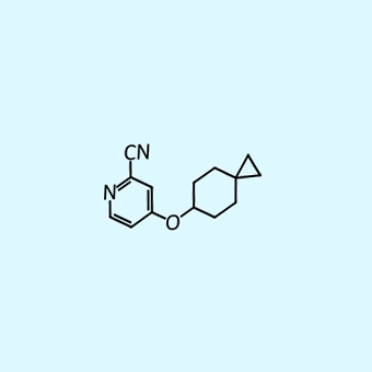 N#Cc1cc(OC2CCC3(CC2)CC3)ccn1